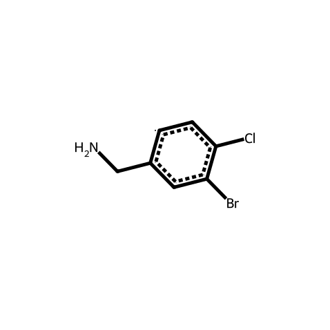 NCc1[c]cc(Cl)c(Br)c1